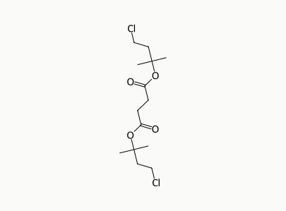 CC(C)(CCCl)OC(=O)CCC(=O)OC(C)(C)CCCl